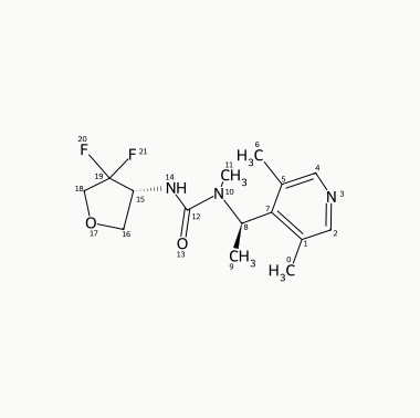 Cc1cncc(C)c1[C@@H](C)N(C)C(=O)N[C@@H]1COCC1(F)F